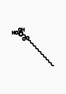 CCCCCCCCCCCCCCCCCCCCOC(=O)Cc1ccc(O)c(O)c1